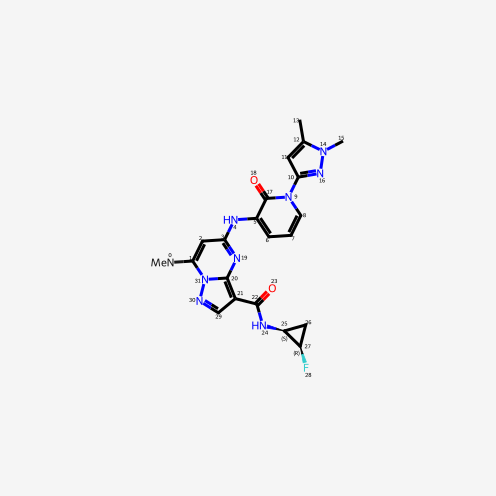 CNc1cc(Nc2cccn(-c3cc(C)n(C)n3)c2=O)nc2c(C(=O)N[C@H]3C[C@H]3F)cnn12